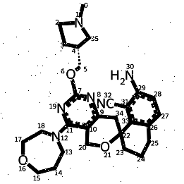 CN1CC[C@@H](COc2nc3c(c(N4CCCOCC4)n2)COC2(CCCc4ccc(N)c(C#N)c42)C3)C1